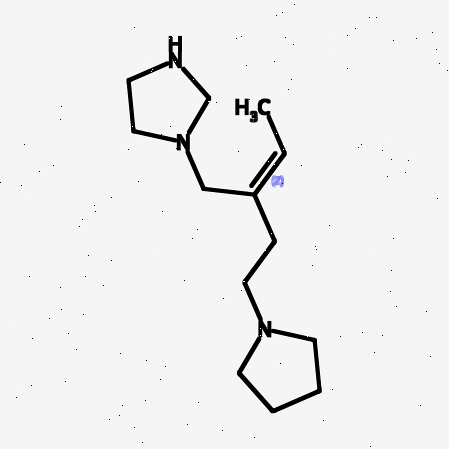 C/C=C(/CCN1CCCC1)CN1CCNC1